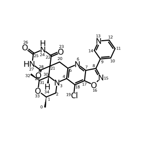 C[C@@H]1CN2c3c(nc4c(-c5cccnc5)noc4c3Cl)CC3(C(=O)NC(=O)NC3=O)[C@H]2[C@H](C)O1